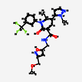 COCc1cc(CNC(=O)c2cc(-c3ccnn3C)c(C)n(-c3cccc(C(F)(F)F)c3)c2=O)on1